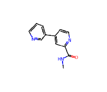 CNC(=O)c1cc(-c2cccnc2)ccn1